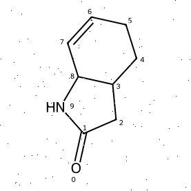 O=C1CC2CC[C]=CC2N1